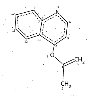 C=C(C)Oc1ccnc2ccccc12